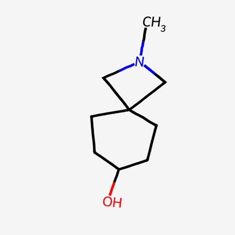 CN1CC2(CCC(O)CC2)C1